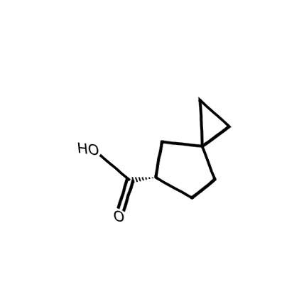 O=C(O)[C@H]1CCC2(CC2)C1